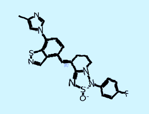 Cc1cn(-c2ccc(/C=C3\CCCN4C3=N[S+]([O-])N4c3ccc(F)cc3)c3cnsc23)cn1